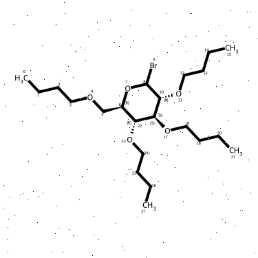 CCCCOC[C@H]1OC(Br)[C@H](OCCCC)[C@@H](OCCCC)[C@@H]1OCCCC